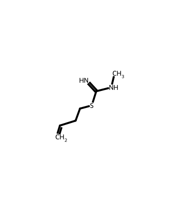 C=CCCSC(=N)NC